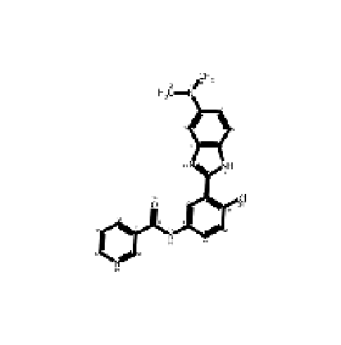 CN(C)c1ccc2[nH]c(-c3cc(NC(=O)c4cccnc4)ccc3Cl)nc2c1